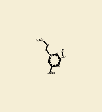 CC(=O)[O-].CCCCCCCCCCCC[n+]1cccc(CCCC)c1